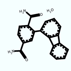 NC(=O)c1ccc(C(N)=O)c(-c2cccc3c2-c2ccccc2-3)c1.O